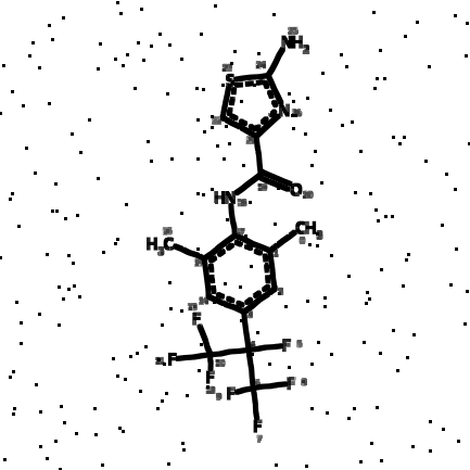 Cc1cc(C(F)(C(F)(F)F)C(F)(F)F)cc(C)c1NC(=O)c1csc(N)n1